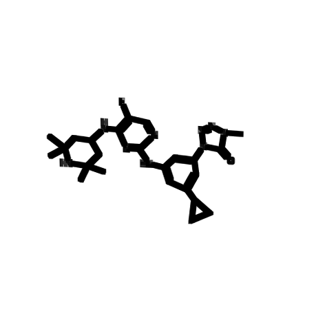 Cn1nnn(-c2cc(Nc3ncc(F)c(NC4CC(C)(C)NC(C)(C)C4)n3)cc(C3CC3)c2)c1=O